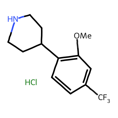 COc1cc(C(F)(F)F)ccc1C1CCNCC1.Cl